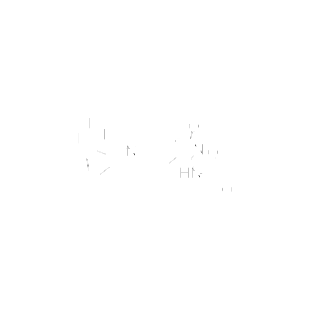 Cc1ccc(CN2CCC(/C=C3\SC(=O)N=C3N[C@@H]3COCC[C@H]3O)CC2)c(C(F)(F)F)c1